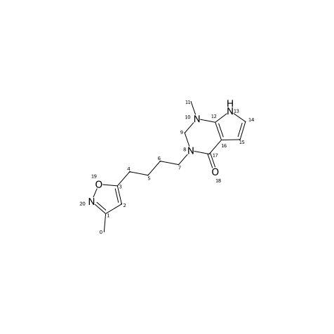 Cc1cc(CCCCN2CN(C)c3[nH]ccc3C2=O)on1